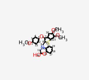 COc1ccc(Oc2c(CN(CC(=O)O)c3ccccc3)sc3cc(OC)c(OC)cc23)cc1